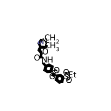 C=N/C=C\c1cc(C(=O)NCc2ccc(S(=O)(=O)c3cccc(S(=O)(=O)CC)c3)cc2)oc1C